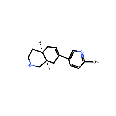 Cc1ccc(C2=CC[C@@H]3CCNC[C@@H]3C2)cn1